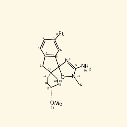 CCc1ccc2c(c1)C1(N=C(N)N(C)O1)[C@]1(CC[C@@H](OC)CC1)C2